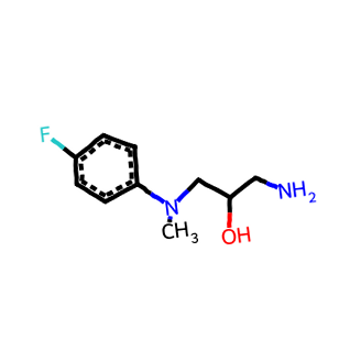 CN(CC(O)CN)c1ccc(F)cc1